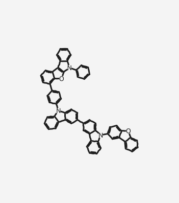 c1ccc(-n2c3ccccc3c3c4cccc(-c5ccc(-n6c7ccccc7c7cc(-c8ccc9c(c8)c8ccccc8n9-c8ccc9oc%10ccccc%10c9c8)ccc76)cc5)c4oc32)cc1